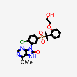 COc1ncnc2c1[nH]c(=O)n2-c1cc(S(=O)(=O)C(C)(C)c2ccccc2OCCO)ccc1Cl